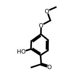 COCOc1ccc(C(C)=O)c(O)c1